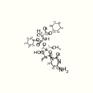 CC[C@]1(COP(=O)(NC(C)C(=O)OC2CCCCC2)Oc2ccccc2)O[C@@H](n2ccc(N)nc2=O)[C@H](F)[C@@H]1O